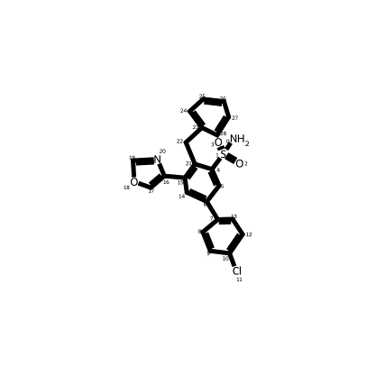 NS(=O)(=O)c1cc(-c2ccc(Cl)cc2)cc(-c2cocn2)c1Cc1ccccc1